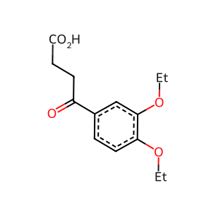 CCOc1ccc(C(=O)CCC(=O)O)cc1OCC